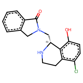 O=C1c2ccccc2CN1C[C@H]1NCCc2c(Cl)ccc(O)c21